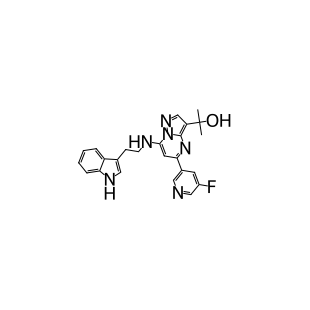 CC(C)(O)c1cnn2c(NCCc3c[nH]c4ccccc34)cc(-c3cncc(F)c3)nc12